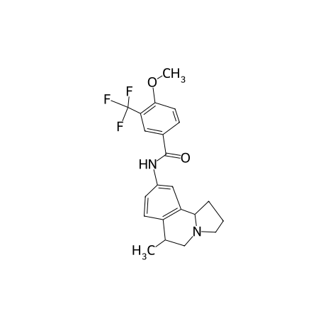 COc1ccc(C(=O)Nc2ccc3c(c2)C2CCCN2CC3C)cc1C(F)(F)F